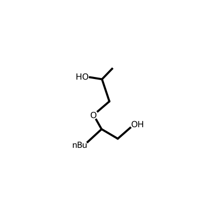 CCCCC(CO)OCC(C)O